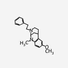 COc1ccc2c(c1)C1CCN(CCc3ccccc3)C(C1)N2C